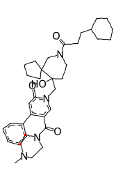 CN1CCN(C(=O)c2cn(CC3(O)CCN(C(=O)CCC4CCCCC4)CC34CCCC4)c(=O)cc2-c2ccccc2)CC1